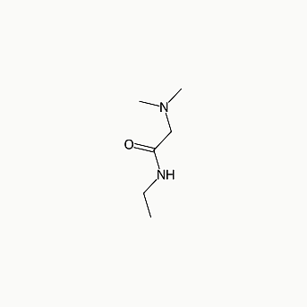 CCNC(=O)CN(C)C